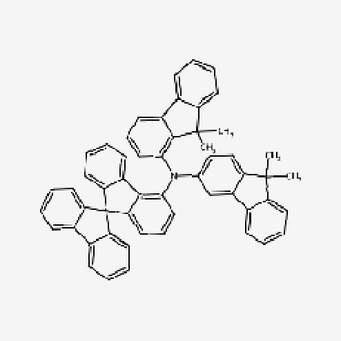 CC1(C)c2ccccc2-c2cc(N(c3cccc4c3-c3ccccc3C43c4ccccc4-c4ccccc43)c3cccc4c3C(C)(C)c3ccccc3-4)ccc21